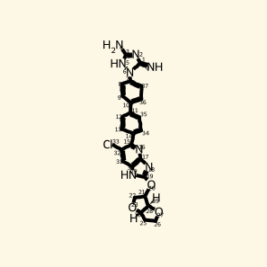 N=c1nc(N)[nH]n1-c1ccc(-c2ccc(-c3nc4nc(OC5CO[C@@H]6CCO[C@H]56)[nH]c4cc3Cl)cc2)cc1